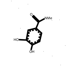 CNC(=O)c1ccc(O)c(O)c1